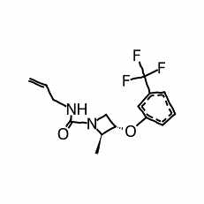 C=CCNC(=O)N1C[C@H](Oc2cccc(C(F)(F)F)c2)[C@H]1C